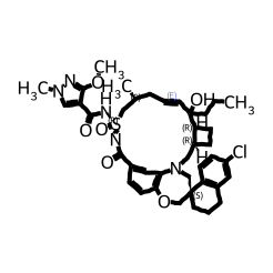 CCCC1(O)/C=C/C[C@H](C)C[S@@](=O)(NC(=O)c2cn(C)nc2OC)=NC(=O)c2ccc3c(c2)N(C[C@@H]2CC[C@H]21)C[C@@]1(CCCc2cc(Cl)ccc21)CO3